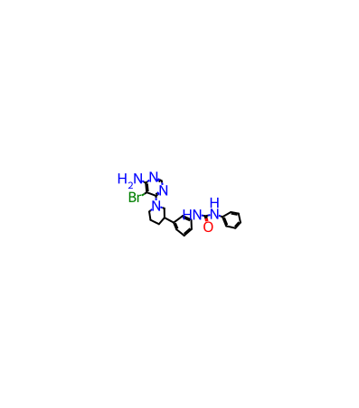 Nc1ncnc(N2CCCC(c3cccc(NC(=O)Nc4ccccc4)c3)C2)c1Br